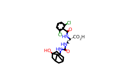 O=C(NC[C@H](NC(=O)c1c(Cl)cccc1Cl)C(=O)O)NC12CC3CC(CC(O)(C3)C1)C2